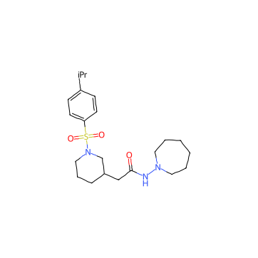 CC(C)c1ccc(S(=O)(=O)N2CCCC(CC(=O)NN3CCCCCC3)C2)cc1